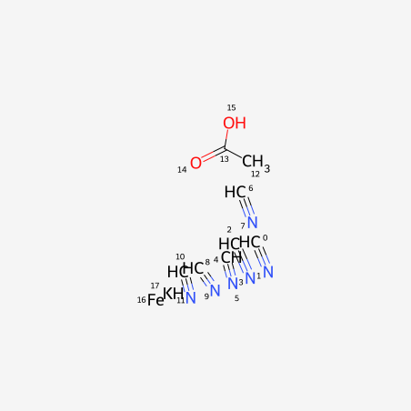 C#N.C#N.C#N.C#N.C#N.C#N.CC(=O)O.[Fe].[KH]